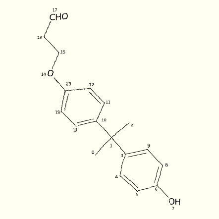 CC(C)(c1ccc(O)cc1)c1ccc(OCCC=O)cc1